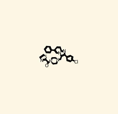 O=C(c1nccs1)N1CCN(Cc2c(-c3ccc(Cl)cc3)nc3ccc(-c4ccccc4)cn23)CC1